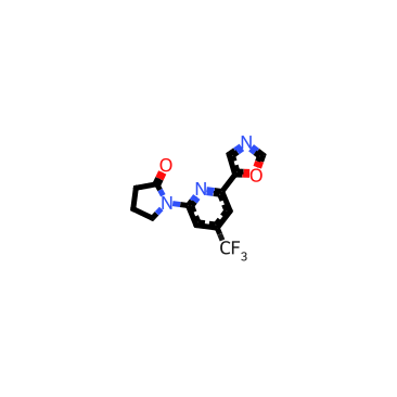 O=C1CCCN1c1cc(C(F)(F)F)cc(-c2cnco2)n1